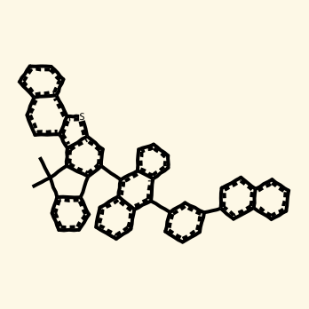 CC1(C)c2ccccc2-c2c(-c3c4ccccc4c(-c4cccc(-c5ccc6ccccc6c5)c4)c4ccccc34)cc3sc4c5ccccc5ccc4c3c21